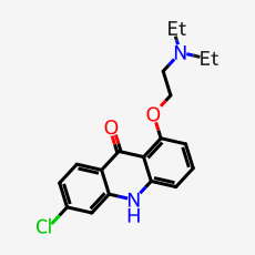 CCN(CC)CCOc1cccc2[nH]c3cc(Cl)ccc3c(=O)c12